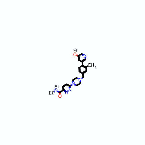 CCOc1cncc(-c2ccc(CN3CCN(c4ccc(C(=O)N(CC)CC)nn4)CC3)cc2C)c1